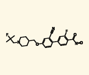 CC(C)(F)CN1CCC(COc2ccc(-c3ccc(C(=O)N=O)c(F)c3)c(C#N)c2)CC1